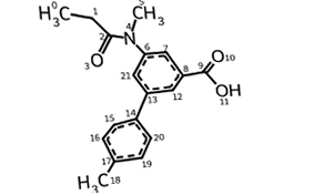 CCC(=O)N(C)c1cc(C(=O)O)cc(-c2ccc(C)cc2)c1